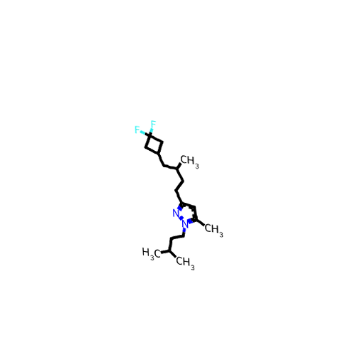 Cc1cc(CCC(C)CC2CC(F)(F)C2)nn1CCC(C)C